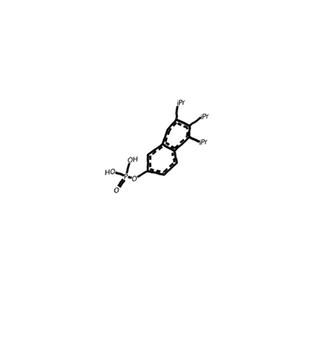 CC(C)c1cc2cc(OP(=O)(O)O)ccc2c(C(C)C)c1C(C)C